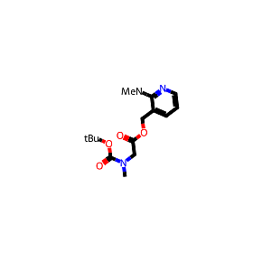 CNc1ncccc1COC(=O)CN(C)C(=O)OC(C)(C)C